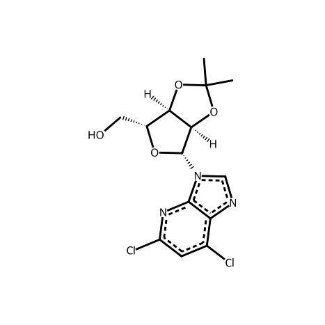 CC1(C)O[C@@H]2[C@H](O1)[C@@H](CO)O[C@H]2n1cnc2c(Cl)cc(Cl)nc21